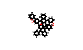 c1ccc(-c2c3ccccc3c(-c3ccc4oc5cccc(-c6c7ccccc7c(-c7ccc8oc9ccccc9c8c7)c7ccccc67)c5c4c3)c3ccccc23)cc1